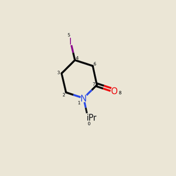 CC(C)N1CCC(I)CC1=O